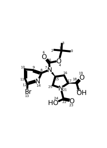 CC(C)(C)OC(=O)N(c1cccc(Br)n1)[C@H]1C[C@@H](C(=O)O)N(C(=O)O)C1